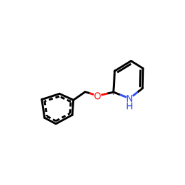 C1=CN[C](OCc2ccccc2)C=C1